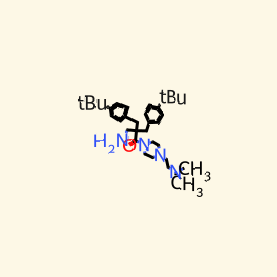 CN(C)CCN1CCN(C(=O)C(CN)(Cc2ccc(C(C)(C)C)cc2)Cc2ccc(C(C)(C)C)cc2)CC1